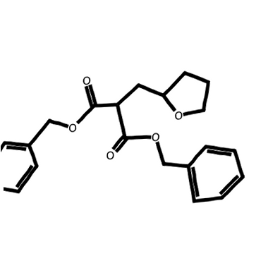 O=C(OCc1ccccc1)C(CC1CCCO1)C(=O)OCc1ccccc1